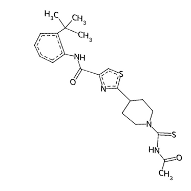 CC(=O)NC(=S)N1CCC(c2nc(C(=O)Nc3ccccc3C(C)(C)C)cs2)CC1